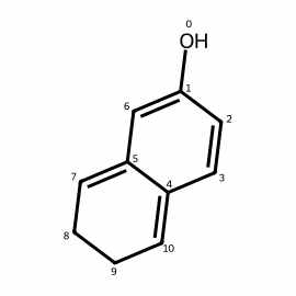 Oc1ccc2c(c1)=CCCC=2